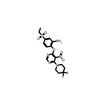 CCS(=O)(=O)c1ccc(Oc2ncnc(N3CCC(F)(F)CC3)c2[N+](=O)[O-])c(N)c1